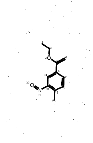 C=C(OCC)c1ccc(C)c(N=O)c1